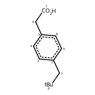 CC(C)(C)Cc1ccc(CC(=O)O)cc1